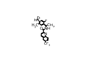 CCNc1cc(F)c([C@@H](C)NC(=O)c2ccc3cc(C(F)(F)F)ccc3n2)cc1C